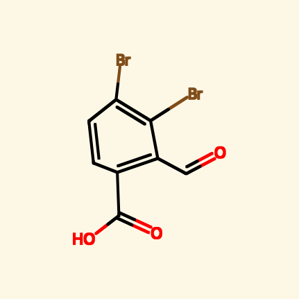 O=Cc1c(C(=O)O)ccc(Br)c1Br